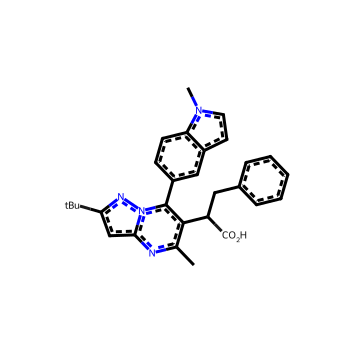 Cc1nc2cc(C(C)(C)C)nn2c(-c2ccc3c(ccn3C)c2)c1C(Cc1ccccc1)C(=O)O